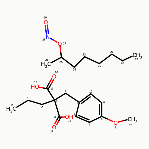 CCCC(Cc1ccc(OC)cc1)(C(=O)O)C(=O)O.CCCCCCC(C)ON=O